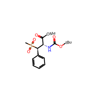 COC(=O)[C@H](NC(=O)OC(C)(C)C)[C@@H](c1ccccc1)S(C)(=O)=O